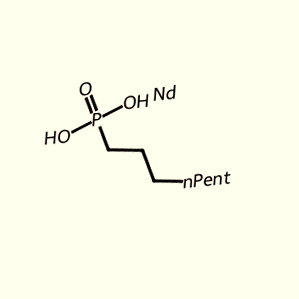 CCCCCCCCP(=O)(O)O.[Nd]